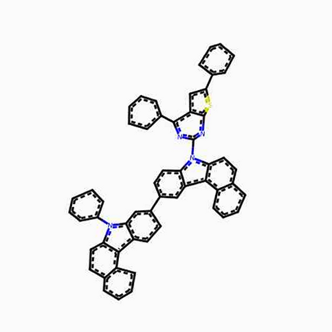 c1ccc(-c2cc3c(-c4ccccc4)nc(-n4c5ccc(-c6ccc7c8c9ccccc9ccc8n(-c8ccccc8)c7c6)cc5c5c6ccccc6ccc54)nc3s2)cc1